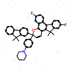 CC1(C)c2ccccc2-c2ccc(C3(c4ccc(N5CCCCC5)cc4)C=Cc4c5c(c6ccc(F)cc6c4O3)-c3ccc(F)cc3C5(C)C)cc21